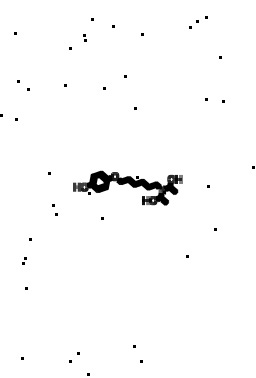 CC(O)N(CCCCCCOc1ccc(O)cc1)C(C)O